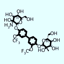 C[C@@]1(O)[C@@H](Oc2ccc(-c3ccc(O[C@H]4O[C@H](CO)[C@@H](O)[C@H](O)[C@]4(N)O)c(OC(F)(F)F)c3)cc2OC(F)(F)F)O[C@H](CO)[C@@H](O)[C@@H]1O